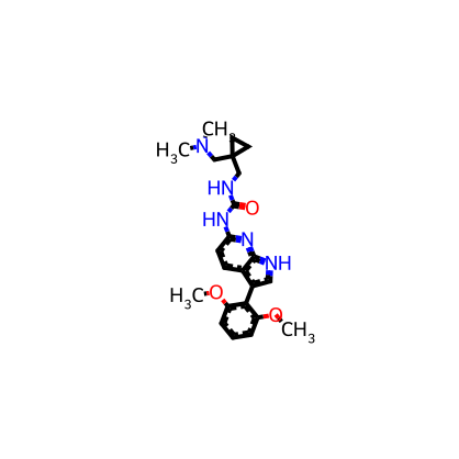 COc1cccc(OC)c1-c1c[nH]c2nc(NC(=O)NCC3(CN(C)C)CC3)ccc12